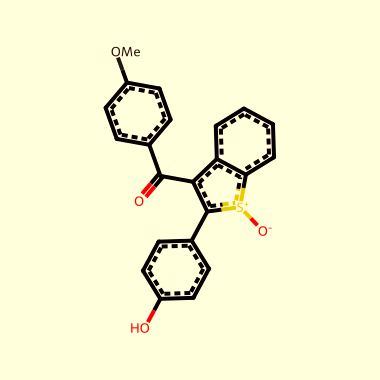 COc1ccc(C(=O)c2c(-c3ccc(O)cc3)[s+]([O-])c3ccccc23)cc1